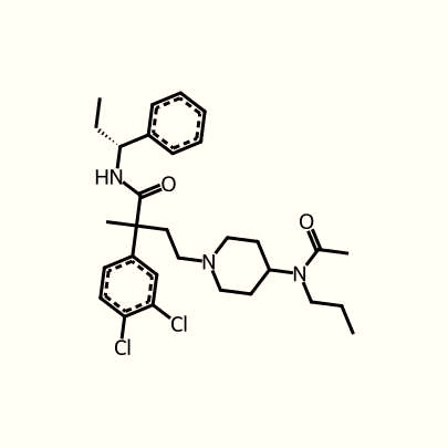 CCCN(C(C)=O)C1CCN(CCC(C)(C(=O)N[C@H](CC)c2ccccc2)c2ccc(Cl)c(Cl)c2)CC1